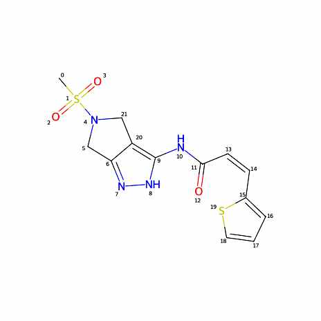 CS(=O)(=O)N1Cc2n[nH]c(NC(=O)/C=C\c3cccs3)c2C1